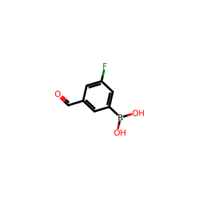 O=Cc1cc(F)cc(B(O)O)c1